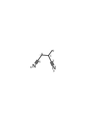 CC(C#N)[CH]C#N